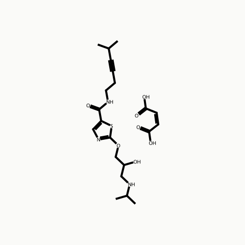 CC(C)C#CCCNC(=O)c1cnc(OCC(O)CNC(C)C)s1.O=C(O)/C=C\C(=O)O